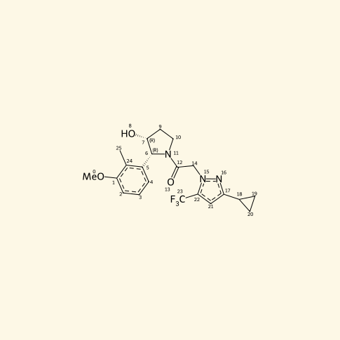 COc1cccc([C@@H]2[C@H](O)CCN2C(=O)Cn2nc(C3CC3)cc2C(F)(F)F)c1C